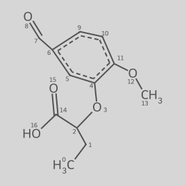 CCC(Oc1cc(C=O)ccc1OC)C(=O)O